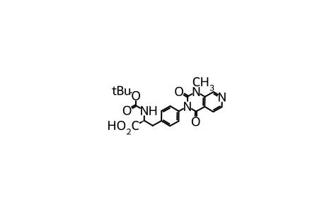 Cn1c(=O)n(-c2ccc(C[C@H](NC(=O)OC(C)(C)C)C(=O)O)cc2)c(=O)c2ccncc21